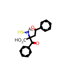 CC(=O)N(S)C(CC(=O)c1ccccc1)(C(=O)O)C(=O)c1ccccc1